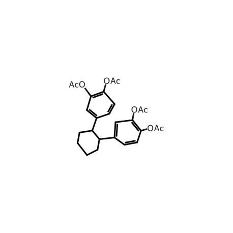 CC(=O)Oc1ccc(C2CCCCC2c2ccc(OC(C)=O)c(OC(C)=O)c2)cc1OC(C)=O